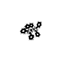 c1ccc(-c2nc(-c3ccccc3)nc(N(c3nc(-c4ccccc4)nc(-c4ccccc4)n3)c3cccc4ccccc34)n2)cc1